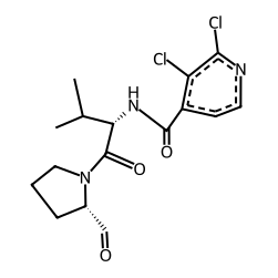 CC(C)[C@H](NC(=O)c1ccnc(Cl)c1Cl)C(=O)N1CCC[C@H]1C=O